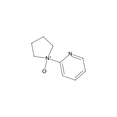 [O][N+]1(c2ccccn2)CCCC1